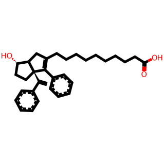 C=C(c1ccccc1)[C@@]12CC[C@H](O)C1CC(CCCCCCCCCC(=O)O)=C2c1ccccc1